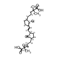 CC(C)(CCCC1CCC(C=CC2CCC(CCCC(C)(C)C(=O)O)[S+]2[O-])[S+]1[O-])C(=O)O